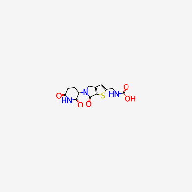 O=C(O)NCc1cc2c(s1)C(=O)N(C1CCC(=O)NC1=O)C2